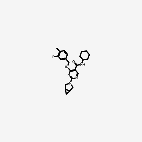 Cc1ccc(CNc2nc(N3CC4CC4C3)ncc2C(=O)NC2CCCCC2)cc1F